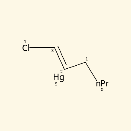 CCCC/C=C/Cl.[Hg]